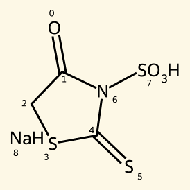 O=C1CSC(=S)N1S(=O)(=O)O.[NaH]